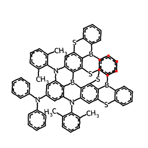 Cc1cccc(C)c1N1c2cc(N(c3ccccc3)c3ccccc3)cc3c2B(c2c1cc1c4c2Sc2ccccc2B4c2ccccc2S1)c1c(cc2c4c1Sc1ccccc1B4c1ccccc1S2)N3c1c(C)cccc1C